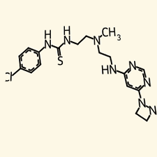 CN(CCNC(=S)Nc1ccc(Cl)cc1)CCNc1cc(N2CCN2)ncn1